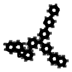 c1ccc(-c2ccc(-c3ccc(N(c4ccc(-c5ccc6ccccc6c5)cc4)c4cccc(-c5cccc6oc7c8ccccc8ccc7c56)c4)cc3)cc2)cc1